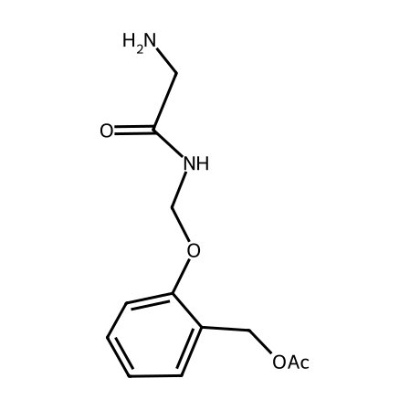 CC(=O)OCc1ccccc1OCNC(=O)CN